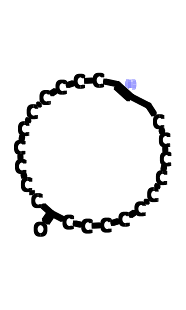 O=C1CCCCCCCCCC/C=C/CCCCCCCCCCC1